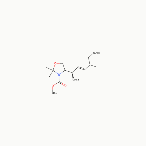 CCCCCCCCCCCC(C)/C=C/[C@@H](OC)C1COC(C)(C)N1C(=O)OC(C)(C)C